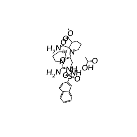 CC(=O)O.COC(=O)C1CCCN(C(=O)CCNS(=O)(=O)c2ccc3ccccc3c2)C1(C(N)=O)[C@H]1CCCN(C(=N)N)C1